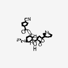 CC(C)[C@@H]1C[C@H](OC(=O)c2ccc(C#N)cc2)[C@@]2(C)Oc3cc(-c4cccnc4)oc(=O)c3[C@H](O)[C@@H]2C1